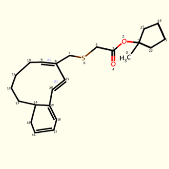 CC1(OC(=O)CSCC2=C/CCCCC3CC=CC=C3\C=C\2)CCCC1